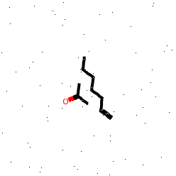 C=CCCCCC.CC(C)=O